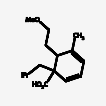 COCCC1C(C)=CC=CC1(CC(C)C)C(=O)O